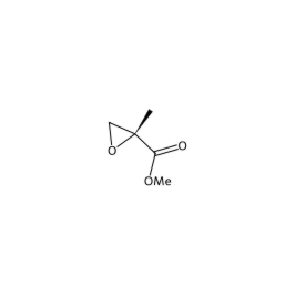 COC(=O)[C@@]1(C)CO1